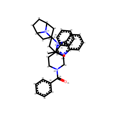 Cc1nc2ccccc2n1C1CC2CCC(C1)N2CCC1(c2ccccc2)CCN(C(=O)c2[c]cccc2)CC1